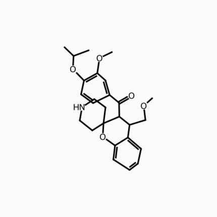 COCC1c2ccccc2OC2(CCNCC2)C1C(=O)c1ccc(OC(C)C)c(OC)c1